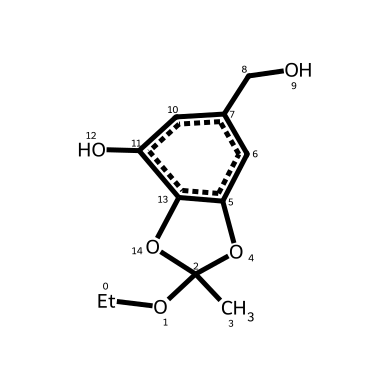 CCOC1(C)Oc2cc(CO)cc(O)c2O1